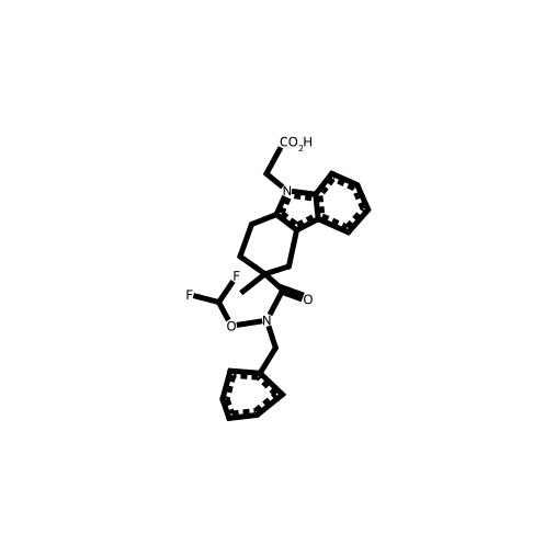 CC1(C(=O)N(Cc2ccccc2)OC(F)F)CCc2c(c3ccccc3n2CC(=O)O)C1